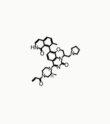 C=CC(=O)N1CCN(c2nc(=O)n3c4c(c(-c5c(C)ccc6cc[nH]c(=O)c56)ccc24)OCC3CN2CCCC2)[C@@H](C)C1